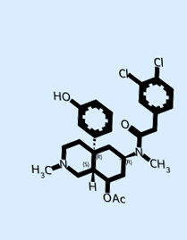 CC(=O)OC1C[C@H](N(C)C(=O)Cc2ccc(Cl)c(Cl)c2)C[C@]2(c3cccc(O)c3)CCN(C)C[C@@H]12